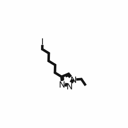 CCn1cc(CCCCCI)nn1